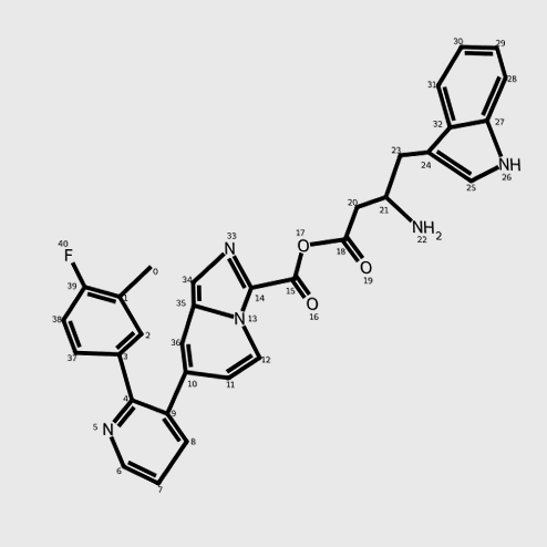 Cc1cc(-c2ncccc2-c2ccn3c(C(=O)OC(=O)CC(N)Cc4c[nH]c5ccccc45)ncc3c2)ccc1F